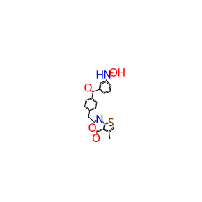 Cc1csc2nc(Cc3ccc(C(=O)c4cccc(NO)c4)cc3)oc(=O)c12